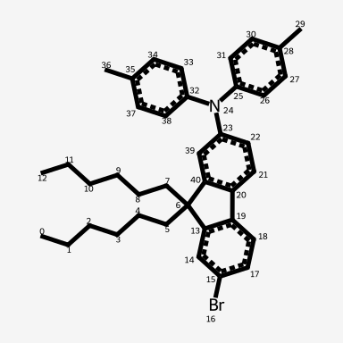 CCCCCCC1(CCCCCC)c2cc(Br)ccc2-c2ccc(N(c3ccc(C)cc3)c3ccc(C)cc3)cc21